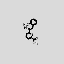 CC(=O)c1cccc(C(=N)Cc2ccccc2C)n1